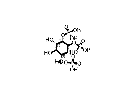 O=P(O)(O)OC1[C@H](OP(=O)(O)O)[C@H](O)C(O)[C@H](O)[C@H]1OP(=O)(O)O